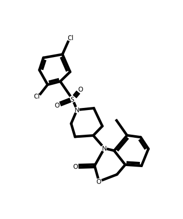 Cc1cccc2c1N(C1CCN(S(=O)(=O)c3cc(Cl)ccc3Cl)CC1)C(=O)OC2